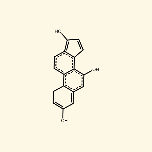 OC1=CCc2c(cc(O)c3c4c(ccc23)=C(O)C=C4)=C1